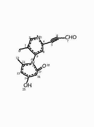 Cc1cnc(C#CC=O)cc1-n1c(C)cc(O)cc1=O